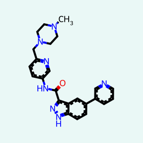 CN1CCN(Cc2ccc(NC(=O)c3n[nH]c4ccc(-c5cccnc5)cc34)cn2)CC1